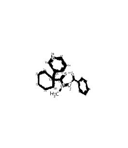 CN(OC(=O)c1ccccc1)C(=S)C1(c2cccnc2)CCCCC1